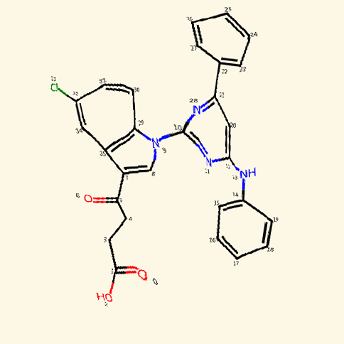 O=C(O)CCC(=O)c1cn(-c2nc(Nc3ccccc3)cc(-c3ccccc3)n2)c2ccc(Cl)cc12